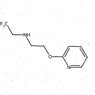 FC(F)(F)CNCCOc1ccccn1